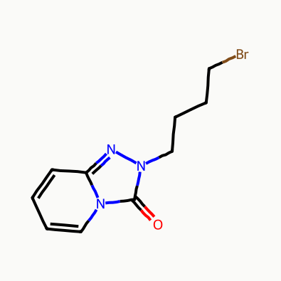 O=c1n(CCCCBr)nc2ccccn12